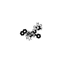 C[C@H](NP(=O)(OC[C@H]1O[C@@H](n2cc(F)c(=O)[nH]c2=O)C[C@@H]1O)Oc1cccc2ccccc12)C(=O)OCc1ccccc1